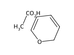 C1=CCOC=C1.CC(=O)O